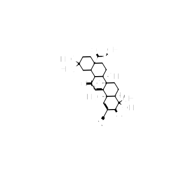 COC(=O)[C@]12CCC(C)(C)CC1C1C(=O)C=C3[C@@]4(C)C=C(C#N)C(=O)C(C)(O)[C@@H]4CC[C@@]3(C)[C@]1(C)CC2